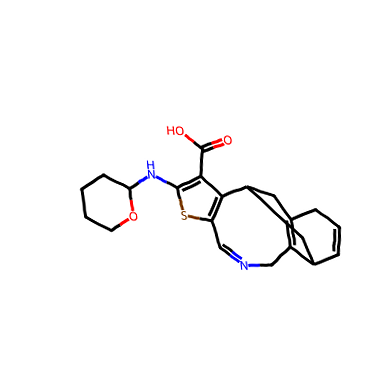 O=C(O)c1c(NC2CCCCO2)sc2c1C1CC3=C(C/N=C\2)C(C=CC3)C1